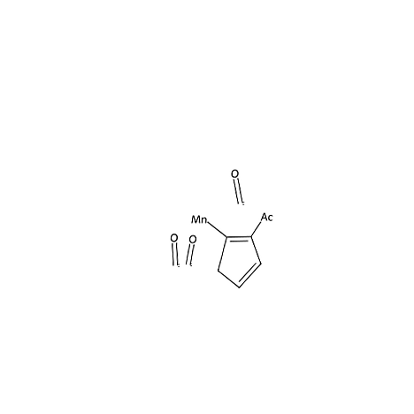 CC(=O)C1=[C]([Mn])CC=C1.[C]=O.[C]=O.[C]=O